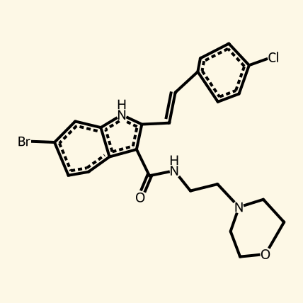 O=C(NCCN1CCOCC1)c1c(C=Cc2ccc(Cl)cc2)[nH]c2cc(Br)ccc12